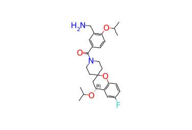 CC(C)Oc1ccc(C(=O)N2CCC3(CC2)C[C@@H](OC(C)C)c2cc(F)ccc2O3)cc1CN